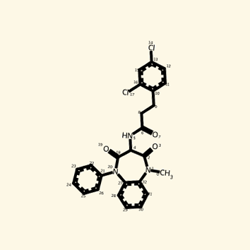 CN1C(=O)C(NC(=O)CCc2ccc(Cl)cc2Cl)C(=O)N(c2ccccc2)c2ccccc21